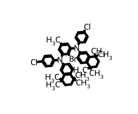 Cc1cc(N(c2ccc(Cl)cc2)c2ccc3c(c2)C(C)(C)CCC3(C)C)c(Br)c(N(c2ccc(Cl)cc2)c2ccc3c(c2)C(C)(C)CCC3(C)C)c1